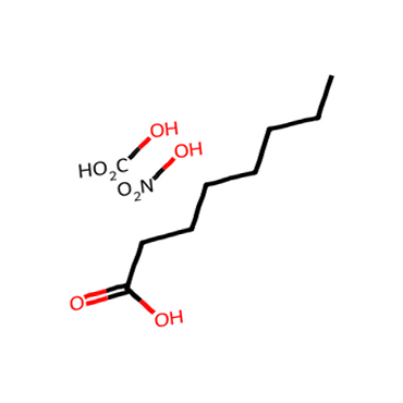 CCCCCCCC(=O)O.O=C(O)O.O=[N+]([O-])O